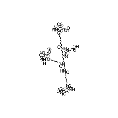 CCC(OC(=O)CCC(=O)O)C(=O)N(CCCCN(CCCNC(=O)CCCCCCCO[C@@H]1OC(COC(C)=O)[C@H](OC(C)=O)[C@H](C)C1NC(C)=O)C(=O)CCCCCCCO[C@@H]1OC(COC(C)=O)[C@H](OC(C)=O)[C@H](C)C1NC(C)=O)CCCNC(=O)CCCCCCCO[C@@H]1OC(COC(C)=O)[C@H](OC(C)=O)[C@H](C)C1NC(C)=O